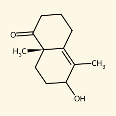 CC1=C2CCCC(=O)[C@@]2(C)CCC1O